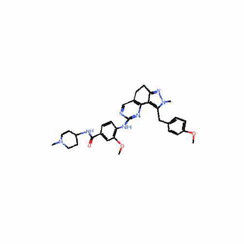 COc1ccc(Cc2c3c(nn2C)CCc2cnc(Nc4ccc(C(=O)NC5CCN(C)CC5)cc4OC)nc2-3)cc1